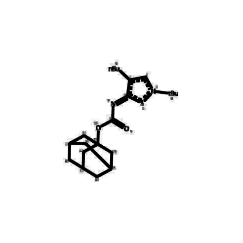 CCCCc1cn(C(C)(C)C)s/c1=N\C(=O)OC12CC3CC(CC(C3)C1)C2